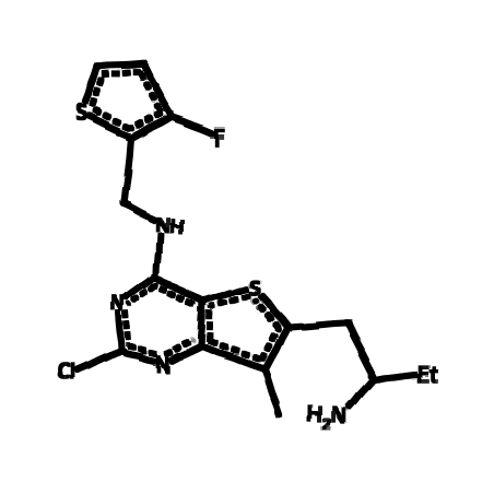 CCC(N)Cc1sc2c(NCc3sccc3F)nc(Cl)nc2c1C